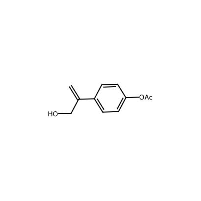 C=C(CO)c1ccc(OC(C)=O)cc1